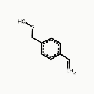 C=Cc1ccc(CSO)cc1